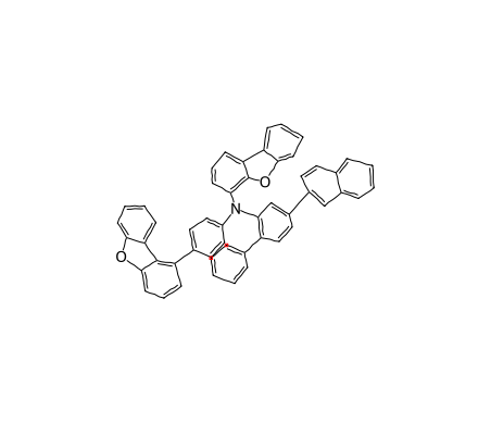 c1ccc(-c2ccc(-c3ccc4ccccc4c3)cc2N(c2ccc(-c3cccc4oc5ccccc5c34)cc2)c2cccc3c2oc2ccccc23)cc1